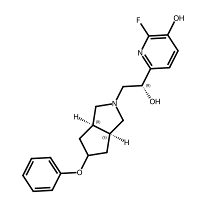 Oc1ccc([C@H](O)CN2C[C@H]3CC(Oc4ccccc4)C[C@H]3C2)nc1F